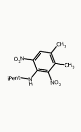 CCCC(C)Nc1c([N+](=O)[O-])cc(C)c(C)c1[N+](=O)[O-]